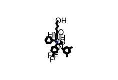 Cc1cc(C)cc(N2C(=O)/C(=C(\NNC(=O)CCCO)c3ccccc3)c3ccc(C(F)(F)F)cc32)c1